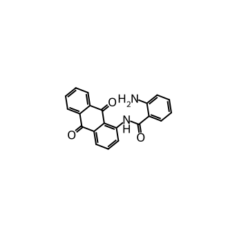 Nc1ccccc1C(=O)Nc1cccc2c1C(=O)c1ccccc1C2=O